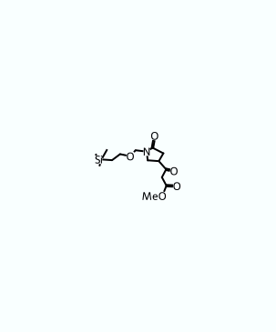 COC(=O)CC(=O)C1CC(=O)N(COCC[Si](C)(C)C)C1